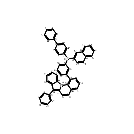 c1ccc(-c2ccc(N(c3cccc(-c4cccc5ccc6c(-c7ccccc7)c7ccccc7n6c45)c3)c3ccc4ccccc4c3)cc2)cc1